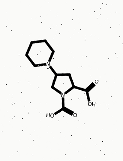 O=C(O)C1CC(N2CCCCC2)CN1C(=O)O